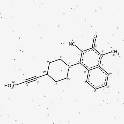 Cn1c(=O)c(C#N)c(N2CCC(C#CC(=O)O)CC2)c2ccccc21